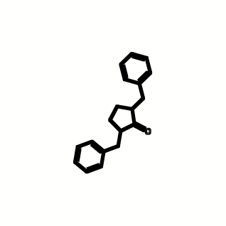 O=C1C(Cc2ccccc2)CCC1Cc1ccccc1